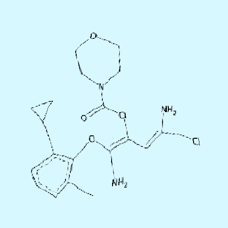 Cc1cccc(C2CC2)c1O/C(N)=C(/C=C(\N)Cl)OC(=O)N1CCOCC1